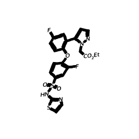 CCOC(=O)Cn1nccc1-c1cc(F)ccc1Oc1ccc(S(=O)(=O)Nc2nccs2)cc1F